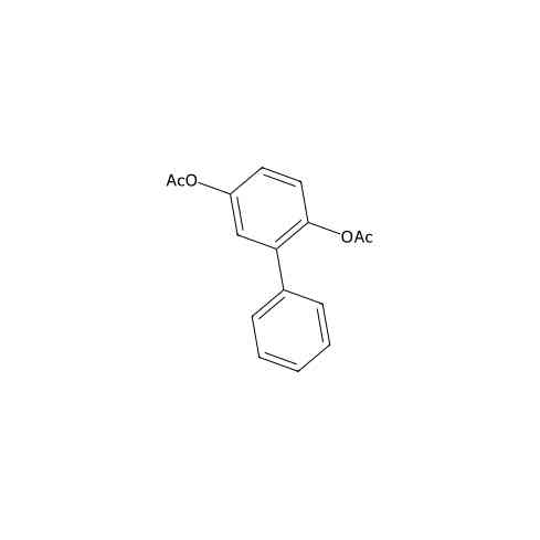 CC(=O)Oc1ccc(OC(C)=O)c(-c2ccccc2)c1